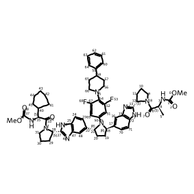 COC(=O)N[C@@H](C)C(=O)N1CCC[C@H]1c1nc2cc([C@H]3CC[C@H](c4ccc5[nH]c([C@@H]6CCCN6C(=O)[C@@H](NC(=O)OC)C6CCCCC6)nc5c4)N3c3cc(F)c(N4CCC(c5ccccc5)CC4)c(F)c3)ccc2[nH]1